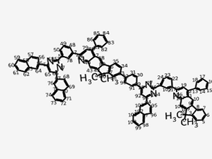 CC1(C)c2ccccc2-c2cc3c(-c4ccccc4)cc(-c4cccc(-c5nc(-c6ccc(-c7ccc8c(c7)C(C)(C)c7cc9nc(-c%10cccc(-c%11nc(-c%12ccc%13ccccc%13c%12)cc(-c%12ccc%13ccccc%13c%12)n%11)c%10)cc(-c%10ccccc%10)c9cc7-8)cc6)cc(-c6ccc7ccccc7c6)n5)c4)nc3cc21